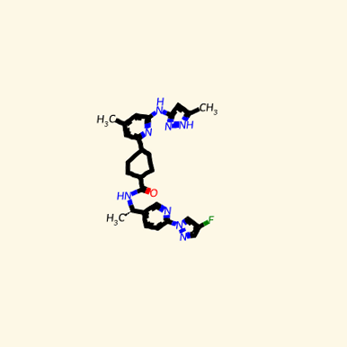 Cc1cc(Nc2cc(C)[nH]n2)nc(C2CCC(C(=O)N[C@@H](C)c3ccc(-n4cc(F)cn4)nc3)CC2)c1